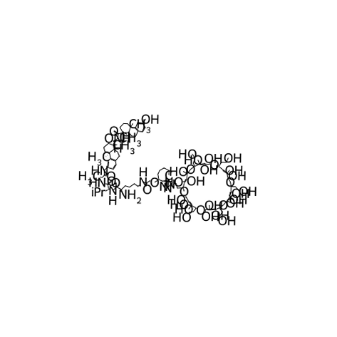 CC(C)[C@H](NC(=O)[C@H](N)CCCCNC(=O)COC1CCCCCc2c1nnn2CCC1OC(O)/C(O)=C(/O)C(CCO)OC(O)/C(O)=C(\O)C(CCO)OC(O)/C(O)=C(/O)C(CCO)OC(O)/C(O)=C\C(CCO)OC(O)/C(O)=C(\O)C(CCO)OC(O)/C(O)=C/1O)C(=O)N[C@@H](C)C(=O)Nc1ccc2c(c1)[C@@]1(C)CCC[C@](C)(C(=O)NC(=O)[C@@]3(C)CCC[C@]4(C)c5cc(O)ccc5CC[C@@H]34)[C@@H]1CC2